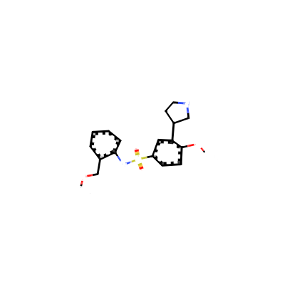 COCc1ccccc1NS(=O)(=O)c1ccc(OC)c(C2CCNC2)c1